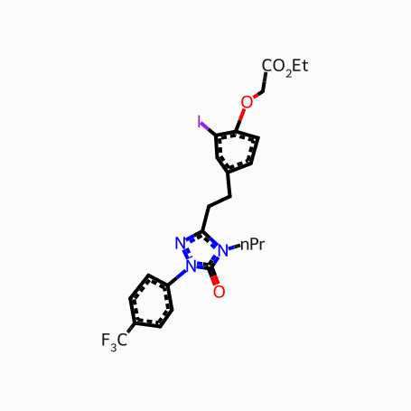 CCCn1c(CCc2ccc(OCC(=O)OCC)c(I)c2)nn(-c2ccc(C(F)(F)F)cc2)c1=O